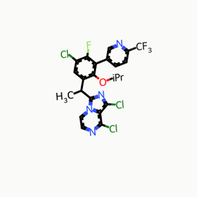 CC(C)Oc1c(C(C)c2nc(Cl)c3c(Cl)nccn23)cc(Cl)c(F)c1-c1ccc(C(F)(F)F)nc1